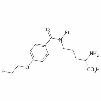 CCN(CCC[C@H](N)C(=O)O)C(=O)c1ccc(OCCF)cc1